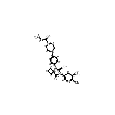 CC(C)(C)OC(=O)N1CCN(c2ccc(N3C(=S)N(C4=CN=C(C#N)C(C(F)(F)F)C4)C(=O)C34CCC4)cc2)CC1